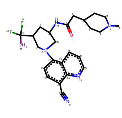 CN1CCC(CC(=O)NC2CC(C(F)(F)P)CN(c3ccc(C#N)c4ncccc34)C2)CC1